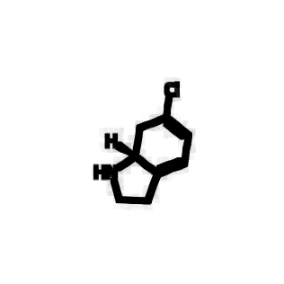 ClC1=CC=C2CCN[C@@H]2C1